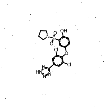 O=S(=O)(c1cc(Oc2c(Cl)cc(-c3nn[nH]n3)cc2Cl)ccc1O)N1CCCC1